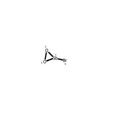 [Br][Sb]1[O][O]1